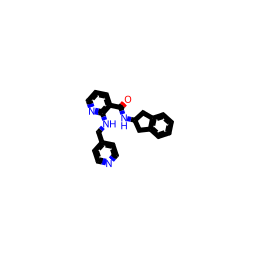 O=C(NC1Cc2ccccc2C1)c1cccnc1NCc1ccncc1